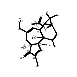 CC(=O)O[C@@]12C[C@@H](C)[C@@]3(O)[C@@H](C=C(CO)C[C@]4(O)C(=O)C(C)=C[C@@H]34)C1C2(C)C